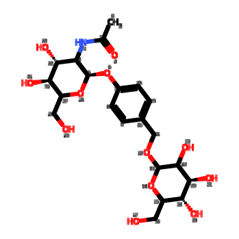 CC(=O)NC1[C@@H](Oc2ccc(COC3OC(CO)[C@@H](O)[C@H](O)C3O)cc2)OC(CO)[C@@H](O)[C@@H]1O